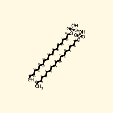 CCCCCCCCCCCCCCCCCCOS(=O)(=O)O.CCCCCCCCCCCCCCCCCCOS(=O)(=O)O